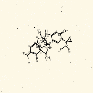 CC(NC(=O)c1cn(C2(C(F)F)CC2)c(=O)cc1N[C@H]1CN2CCC1CC2)c1cccc(C(F)F)c1F